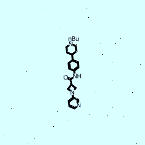 CCCCN1CCC(c2ccc(NC(=O)C3CN(c4cccnc4)C3)cc2)CC1